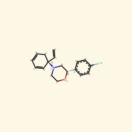 C=C[C@]1(N2CCO[C@@H](c3ccc(F)cc3)C2)C=CC=CC1